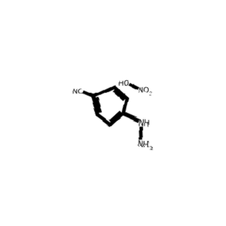 N#Cc1ccc(NN)cc1.O=[N+]([O-])O